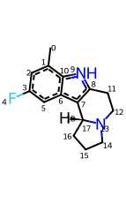 Cc1cc(F)cc2c3c([nH]c12)CCN1CCC[C@H]31